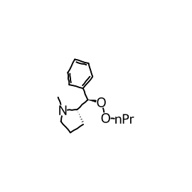 CCCOO[C@H](c1ccccc1)[C@@H]1CCCN1C